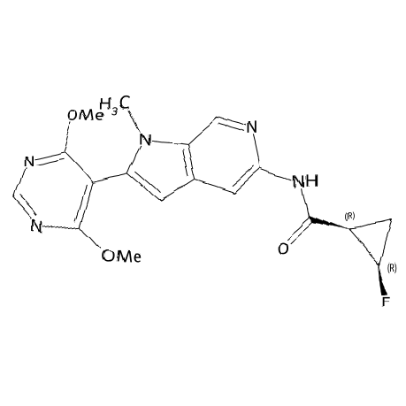 COc1ncnc(OC)c1-c1cc2cc(NC(=O)[C@H]3C[C@H]3F)ncc2n1C